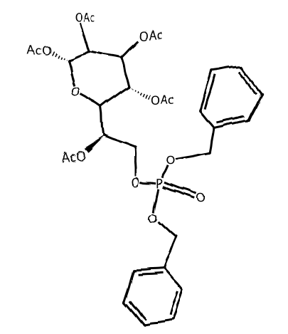 CC(=O)OC1C(OC(C)=O)[C@H](OC(C)=O)C([C@@H](COP(=O)(OCc2ccccc2)OCc2ccccc2)OC(C)=O)O[C@@H]1OC(C)=O